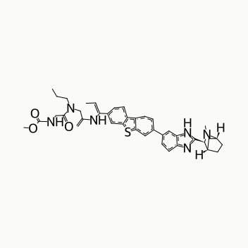 C=C(CN(CCC)C(=O)CNC(=O)OC)N/C(=C\C)c1ccc2c(c1)sc1cc(-c3ccc4nc([C@@H]5[C@H]6CC[C@H](C6)N5C)[nH]c4c3)ccc12